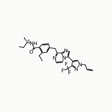 C=CCn1cc(-c2cnc3c(Cc4ccc(C(=O)N[C@H](C)CC)c(CC)c4)nccn23)c(C(F)(F)F)n1